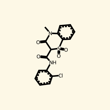 CN1C(=O)C(C(=O)Nc2ccccc2Cl)S(=O)(=O)c2ccccc21